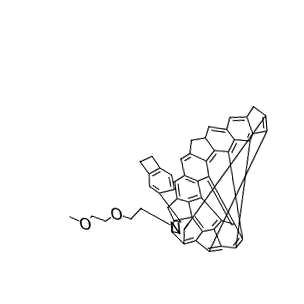 COCCOCCN1CC2C3=c4c5c6c7c(cc8cc9c%10c%11c%12c%13c(cc%14c%15c(c4c4c5c5c7c8c%10c5c%12c4c%15%13)=C(C3)C%14)=CC%11C9)CC62C1c1ccc2c(c1)CC2